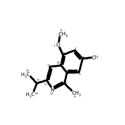 COc1cc(Cl)cc2c(C)nc(C(C)C)cc12